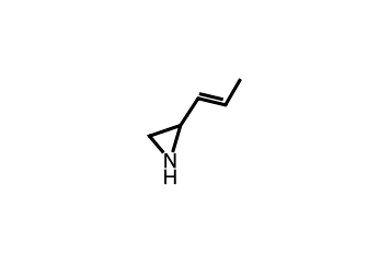 CC=CC1CN1